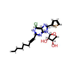 CCCCCCC#Cc1nc(Cl)c2nc(-c3cccs3)n([C@@H]3OC[C@@H](O)[C@H]3O)c2n1